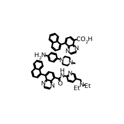 CCN(CC)Cc1ccc(NC(=O)c2ccc(-c3cccc4ccccc34)c3nccnc23)nc1.CN1CCN(c2ccc(N)cc2)CC1.O=C(O)c1ccc(-c2cccc3ccccc23)c2nccnc12